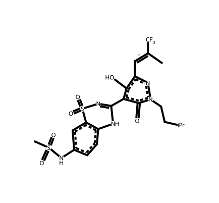 C/C(=C\c1nn(CCC(C)C)c(=O)c(C2=NS(=O)(=O)c3cc(NS(C)(=O)=O)ccc3N2)c1O)C(F)(F)F